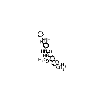 COc1c(NC(=O)Nc2ccc3[nH]c(C4CCCCC4)nc3c2)ccc2c1C=CC(C)(C)O2